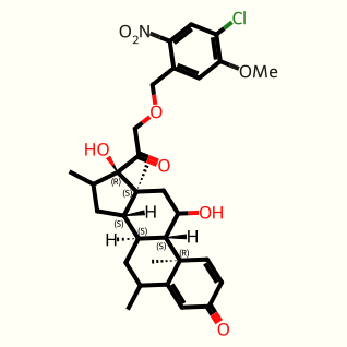 COc1cc(COCC(=O)[C@@]2(O)C(C)C[C@H]3[C@@H]4CC(C)C5=CC(=O)C=C[C@]5(C)[C@H]4C(O)C[C@@]32C)c([N+](=O)[O-])cc1Cl